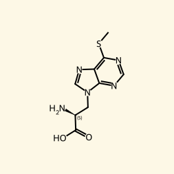 CSc1ncnc2c1ncn2C[C@H](N)C(=O)O